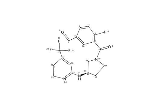 O=Cc1ccc(F)c(C(=O)N2CC[C@@H](Nc3cc(C(F)(F)F)ccn3)C2)c1